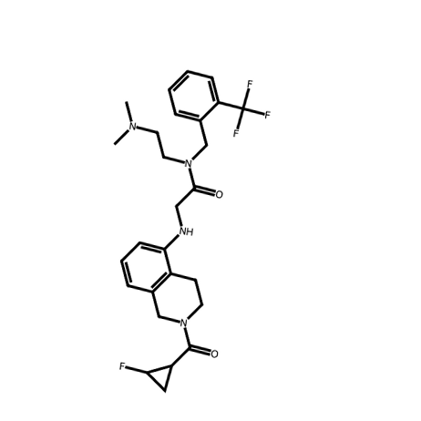 CN(C)CCN(Cc1ccccc1C(F)(F)F)C(=O)CNc1cccc2c1CCN(C(=O)C1CC1F)C2